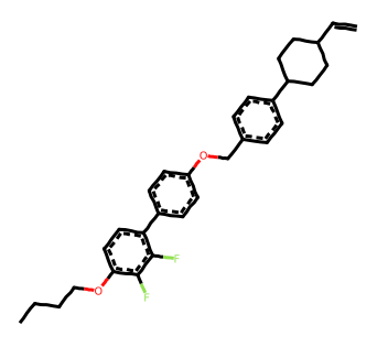 C=CC1CCC(c2ccc(COc3ccc(-c4ccc(OCCCC)c(F)c4F)cc3)cc2)CC1